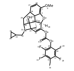 COC1=C2O[C@H]3C(OC(=S)Oc4c(F)c(F)c(F)c(F)c4F)=CC45C[C@]36C2C(C=C1)CC(N4CC1CC1)C56O